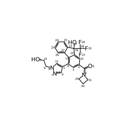 O=C(c1cc(-c2cnn(CCO)c2)c2c(c1)C(O)(C(F)(F)F)c1ccccc1-2)N1CCC1